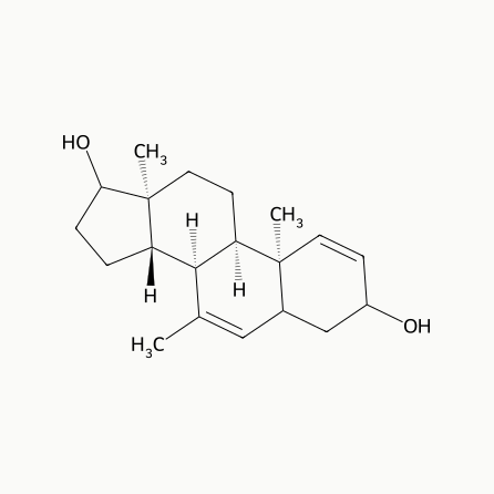 CC1=CC2CC(O)C=C[C@]2(C)[C@@H]2CC[C@]3(C)C(O)CC[C@H]3[C@H]12